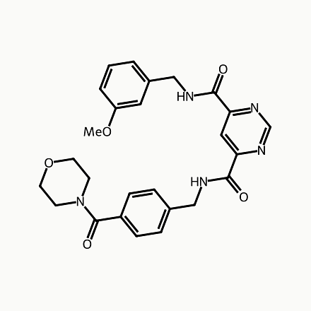 COc1cccc(CNC(=O)c2cc(C(=O)NCc3ccc(C(=O)N4CCOCC4)cc3)ncn2)c1